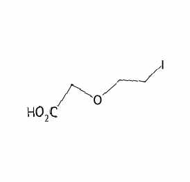 O=C(O)COCCI